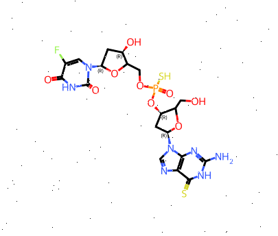 Nc1nc2c(ncn2[C@H]2C[C@@H](OP(=O)(S)OCC3O[C@@H](n4cc(F)c(=O)[nH]c4=O)C[C@H]3O)C(CO)O2)c(=S)[nH]1